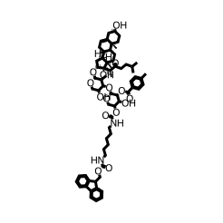 Cc1ccc(C(=O)OC2C(OC3C(O)COC(O[C@H]4C[C@H]5[C@@H]6CC=C7C[C@@H](O)CC[C@]7(C)C6CC[C@]5(C)[C@@]4(O)[C@H](C)C(=O)CCC(C)C)C3C)OCC(OC(=O)NCCCCCCNC(=O)OCC3c4ccccc4-c4ccccc43)C2O)cc1